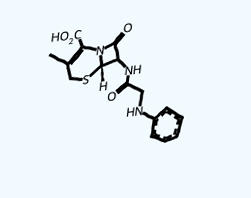 CC1=C(C(=O)O)N2C(=O)C(NC(=O)CNc3ccccc3)[C@@H]2SC1